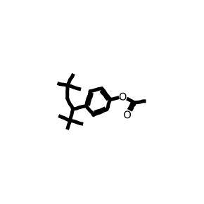 CC(=O)Oc1ccc(C(CC(C)(C)C)C(C)(C)C)cc1